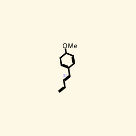 C=C/C=C/C1=CCC(OC)C=C1